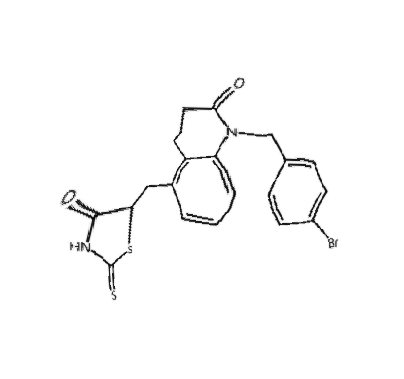 O=C1NC(=S)SC1Cc1cccc2c1CCC(=O)N2Cc1ccc(Br)cc1